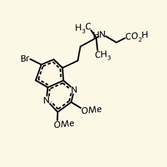 COc1nc2cc(Br)cc(CCC(C)(C)NCC(=O)O)c2nc1OC